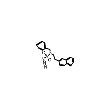 [N-]=[N+]=NS(=O)(=O)N(CCc1ccc2ccccc2c1)Cc1ccccc1